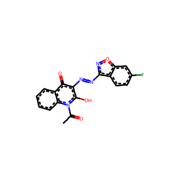 CC(=O)n1c(O)c(N=Nc2noc3cc(F)ccc23)c(=O)c2ccccc21